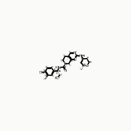 C[C@@H]1CC(Nc2ncc3c(n2)CN(C(=O)N[C@H](CO)c2ccc(Cl)c(F)c2)CC3)CCO1